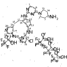 NC1CCN(c2ccnc(Nc3ccc4cc3CCc3cncc(c3)Nc3ncc(Cl)c(n3)N4)n2)CC1.O=C(O)C(F)(F)F.O=C(O)C(F)(F)F.O=C(O)C(F)(F)F.O=C(O)C(F)(F)F